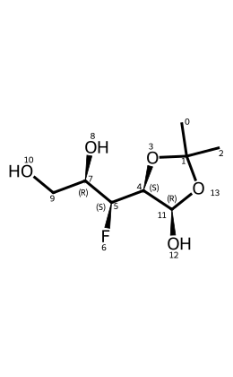 CC1(C)O[C@H]([C@@H](F)[C@H](O)CO)[C@H](O)O1